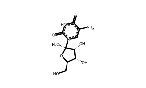 C[C@@]1(n2cc(N)c(=O)[nH]c2=O)O[C@H](CO)[C@@H](O)[C@H]1O